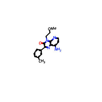 COCCn1c(=O)c(-c2cccc(C)c2)nc2c(N)ccnc21